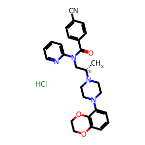 C[C@@H](CN(C(=O)c1ccc(C#N)cc1)c1ccccn1)N1CCN(c2cccc3c2OCCO3)CC1.Cl